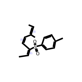 C\C=C(C)/C=C\C(=C/C)S(=O)(=O)c1ccc(C)cc1